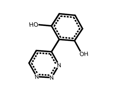 Oc1cccc(O)c1-c1ccnnn1